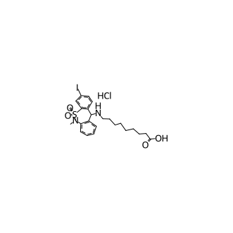 CN1c2ccccc2C(NCCCCCCCCC(=O)O)c2ccc(I)cc2S1(=O)=O.Cl